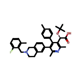 Cc1ccc(-c2c(-c3ccc4c(c3)CCN(Cc3c(C)cccc3F)C4)c(C)nc(C)c2[C@H](OC(C)(C)C)C(=O)O)cc1